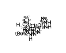 CC(Cn1nc(Nc2nc3ncc(O/C(C=N)=C4\C=NC=CN4)c(Cl)c3n2C)cc1C(C)(C)C)OCc1ccccc1